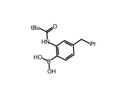 CC(C)Cc1ccc(B(O)O)c(NC(=O)C(C)(C)C)c1